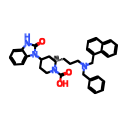 O=C(O)N1CCC(n2c(=O)[nH]c3ccccc32)C[C@@H]1CCCN(Cc1ccccc1)Cc1cccc2ccccc12